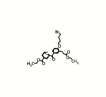 CCOC(=O)CCc1cc(C(=O)c2cccc(C(=O)OCC)c2)ccc1OCCCCBr